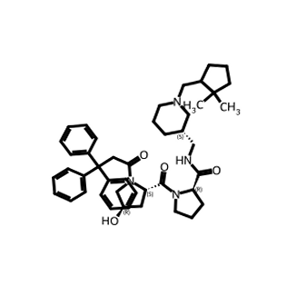 CC1(C)CCCC1CN1CCC[C@@H](CNC(=O)[C@H]2CCCN2C(=O)[C@@H]2C[C@@H](O)CN2C(=O)CC(c2ccccc2)(c2ccccc2)c2ccccc2)C1